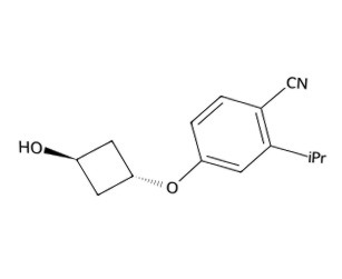 CC(C)c1cc(O[C@H]2C[C@H](O)C2)ccc1C#N